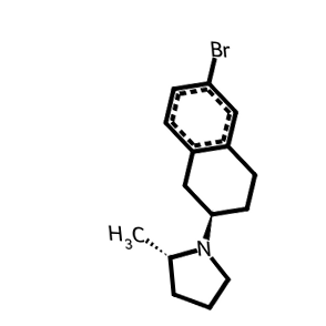 C[C@H]1CCCN1[C@@H]1CCc2cc(Br)ccc2C1